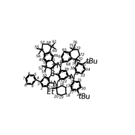 CCc1cc(-c2ccccc2)cc2c1N(C1(C)CCCCC1)c1cc(N(c3ccc(C(C)(C)C)cc3)c3ccc(C(C)(C)C)cc3)cc3c1B2C1=C(c2cc4c(cc2C1(C)C)C(C)(C)CCC4(C)C)N3c1ccc2c(c1)C(C)(C)CCC2(C)C